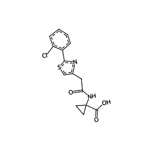 O=C(Cc1csc(-c2ccccc2Cl)n1)NC1(C(=O)O)CC1